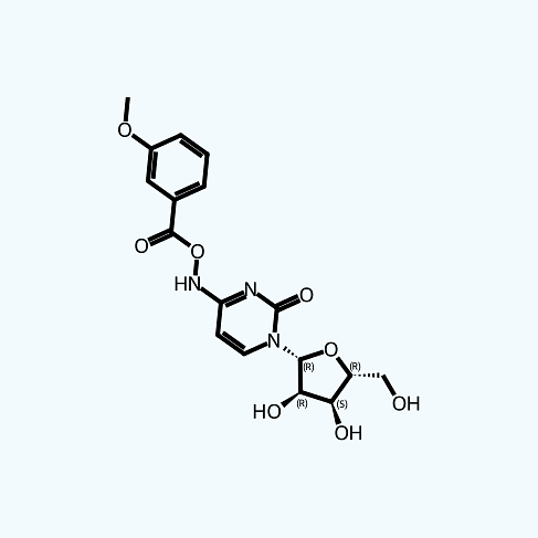 COc1cccc(C(=O)ONc2ccn([C@@H]3O[C@H](CO)[C@@H](O)[C@H]3O)c(=O)n2)c1